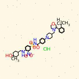 CC(C)c1ccccc1[C@@H]1COCCN1CC1CCN(c2ccc(C(=O)NS(=O)(=O)c3ccc(NCC4CCC(C)(O)CC4)c([N+](=O)[O-])c3)cc2)CC1.Cl